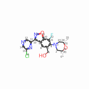 C[C@@H]1CN(c2c(CO)cc3c(-c4cncc(Cl)n4)noc3c2F)C[C@H](C)O1